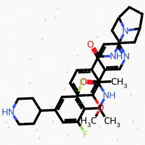 COc1cccc(C(=O)NC2CC3CCC(C2)N3c2ccc(C(=O)NC(C)c3c(F)cc(C4CCNCC4)cc3F)cn2)c1C